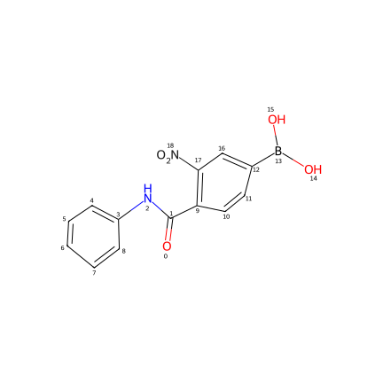 O=C(Nc1ccccc1)c1ccc(B(O)O)cc1[N+](=O)[O-]